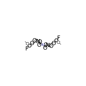 CC1Cc2c(F)ccc(OCC3CN(OC(=O)/C=C/C(=O)ON4CCOC(COc5ccc(F)c6c5CC(C)C6)C4)CCO3)c2C1